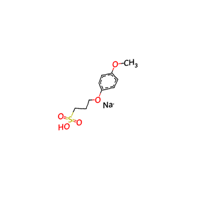 COc1ccc(OCCCS(=O)(=O)O)cc1.[Na]